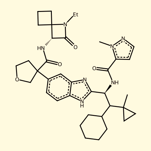 CCN1C(=O)[C@H](NC(=O)C2(c3ccc4[nH]c([C@@H](NC(=O)c5ccnn5C)C(C5CCCCC5)C5(C)CC5)nc4c3)CCOC2)C12CCC2